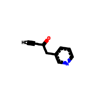 C#CC(=O)Cc1cccnc1